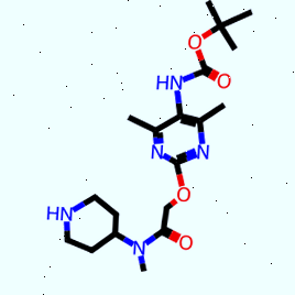 Cc1nc(OCC(=O)N(C)C2CCNCC2)nc(C)c1NC(=O)OC(C)(C)C